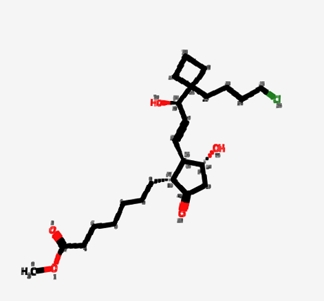 COC(=O)CCCCCC[C@H]1C(=O)C[C@@H](O)[C@@H]1C=C[C@@H](O)C1(CCCCCl)CCC1